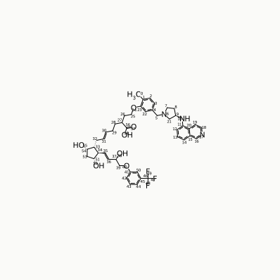 Cc1ccc(CN2CC[C@@H](Nc3cccc4cnccc34)C2)cc1OCCC(CCC=CC[C@@H]1[C@@H](C=C[C@@H](O)COc2cccc(C(F)(F)F)c2)[C@H](O)C[C@@H]1O)C(=O)O